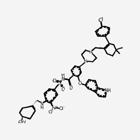 CC1(C)CCC(CN2CCN(c3ccc(C(=O)NS(=O)(=O)c4ccc(NC[C@H]5CC[C@H](O)CC5)c([N+](=O)[O-])c4)c(Oc4ccc5[nH]ccc5c4)c3)CC2)=C(c2ccc(Cl)cc2)C1